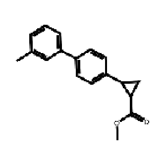 COC(=O)C1CC1c1ccc(-c2cccc(C)c2)cc1